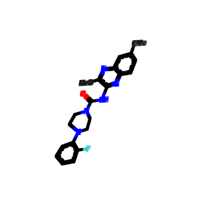 COc1ccc2nc(NC(=O)N3CCN(c4ccccc4F)CC3)c(OC)nc2c1